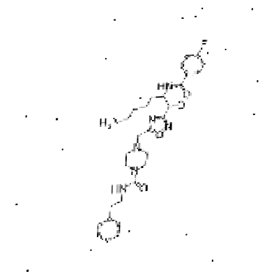 NCCCCC(NC(=O)c1ccc(F)cc1)C(=O)c1noc(CN2CCN(C(=O)NCCc3ccccc3)CC2)n1